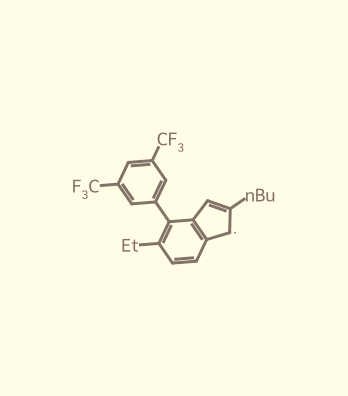 CCCCC1=Cc2c(ccc(CC)c2-c2cc(C(F)(F)F)cc(C(F)(F)F)c2)[CH]1